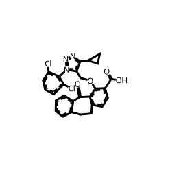 O=C(O)c1ccc2c(c1OCc1c(C3CC3)nnn1-c1c(Cl)cccc1Cl)C(=O)c1ccccc1CC2